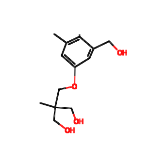 Cc1[c]c(CO)cc(OCC(C)(CO)CO)c1